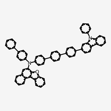 c1ccc(-c2ccc(N(c3ccc(-c4ccc(-c5ccc(-c6ccc7c8ccccc8n(-c8ccccc8)c7c6)cc5)cc4)cc3)c3cc4ccccc4c4c3oc3ccccc34)cc2)cc1